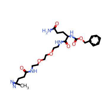 CC1(CCC(=O)NCCOCCOCCNC(=O)C(CCC(N)=O)NC(=O)OCc2ccccc2)N=N1